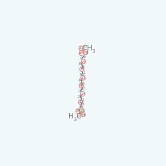 CS(=O)(=O)OCCOCCOCCOCCOCCOCCOCCOS(C)(=O)=O